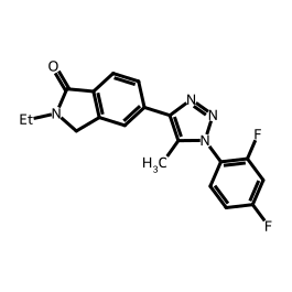 CCN1Cc2cc(-c3nnn(-c4ccc(F)cc4F)c3C)ccc2C1=O